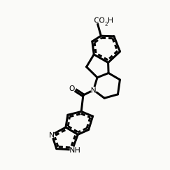 O=C(O)c1ccc2c(c1)CC1C2CCCN1C(=O)c1ccc2[nH]cnc2c1